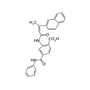 C/C(=C/C(=O)Nc1cc(C(=O)Nc2ccccc2)ccc1C(=O)O)c1ccc2ccccc2c1